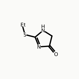 CCSC1=NC(=O)CN1